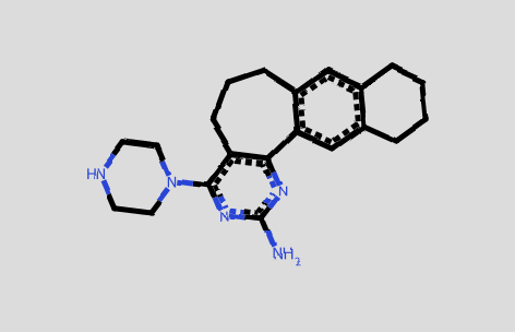 Nc1nc2c(c(N3CCNCC3)n1)CCCc1cc3c(cc1-2)CCCC3